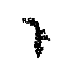 Cc1nc2cc(OC[C@H](O)CN3CCN(Cc4cc(-c5ccc(F)cc5F)on4)[C@@H](C)C3)ccc2s1